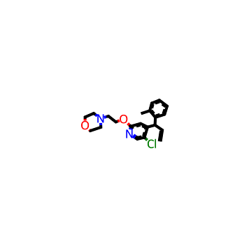 C=CC(c1ccccc1C)c1cc(OCCN2CCOCC2)ncc1Cl